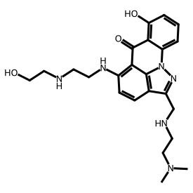 CN(C)CCNCc1nn2c3cccc(O)c3c(=O)c3c(NCCNCCO)ccc1c32